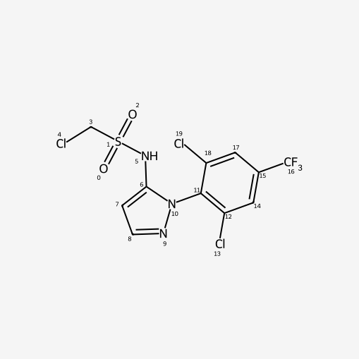 O=S(=O)(CCl)Nc1ccnn1-c1c(Cl)cc(C(F)(F)F)cc1Cl